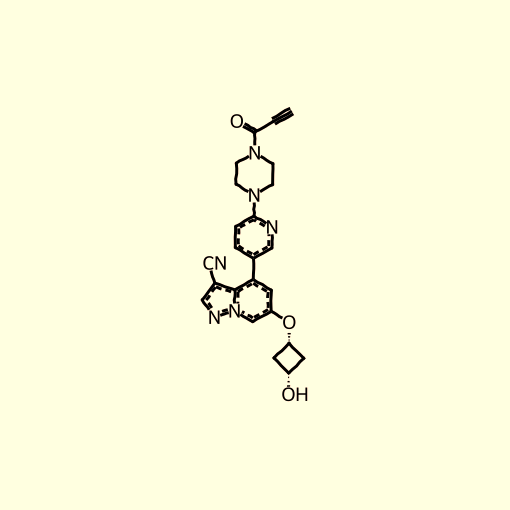 C#CC(=O)N1CCN(c2ccc(-c3cc(O[C@H]4C[C@@H](O)C4)cn4ncc(C#N)c34)cn2)CC1